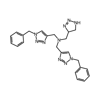 c1ccc(Cn2cc(CN(Cc3cn(Cc4ccccc4)nn3)CC3CNN=N3)nn2)cc1